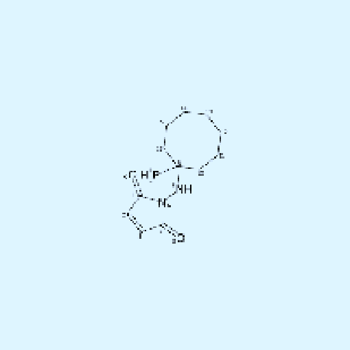 O=C1C=CC(=O)N1NC1(P)CCCCCCC1